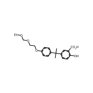 CCOCOCCOc1ccc(C(C)(C)c2ccc(O)c(C(=O)O)c2)cc1